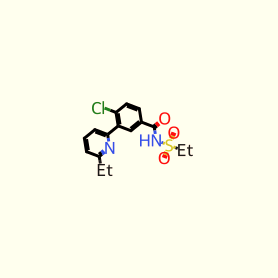 CCc1cccc(-c2cc(C(=O)NS(=O)(=O)CC)ccc2Cl)n1